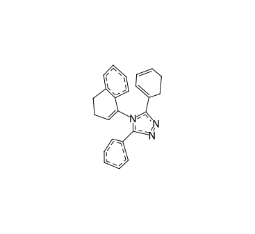 C1=CCCC(c2nnc(-c3ccccc3)n2C2=CCCc3ccccc32)=C1